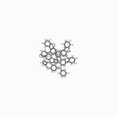 Clc1ccc2c(c1)C1(c3ccccc3Sc3ccc(N(c4ccccc4)c4cc(-c5ccccc5)c5sc6ccccc6c5c4)cc31)c1cccc(N(c3cc(C4=CCCC=C4)c4c(c3)oc3ccccc34)c3ccc4sc5ccccc5c4c3)c1-2